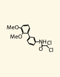 COc1cccc(-c2cccc(NC(=O)C(Cl)Cl)c2)c1OC